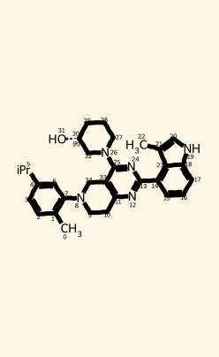 Cc1ccc(C(C)C)cc1N1CCc2nc(-c3cccc4[nH]cc(C)c34)nc(N3CCC[C@@H](O)C3)c2C1